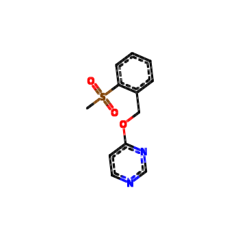 CS(=O)(=O)c1ccccc1COc1ccncn1